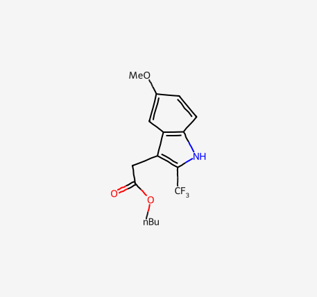 CCCCOC(=O)Cc1c(C(F)(F)F)[nH]c2ccc(OC)cc12